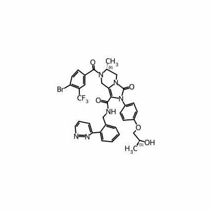 C[C@H](O)COc1ccc(-n2c(C(=O)NCc3ccccc3-c3cccnn3)c3n(c2=O)C[C@@H](C)N(C(=O)c2ccc(Br)c(C(F)(F)F)c2)C3)cc1